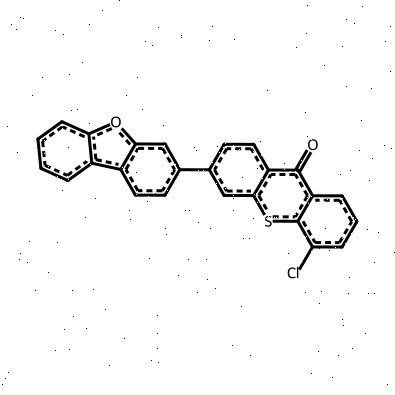 O=c1c2ccc(-c3ccc4c(c3)oc3ccccc34)cc2sc2c(Cl)cccc12